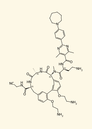 Cc1nc(-c2ccc(N3CCCCCC3)cc2)nc(C)c1C(=O)N[C@@H](CCN)C(=O)N(C)[C@@H]1C(=O)N[C@@H](C)C(=O)N[C@H](C(=O)NCC#N)Cc2ccc(OCCN)c(c2)-c2cc1ccc2OCCN